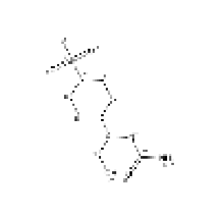 CS(=O)(=O)N1CCC(C(CO)OC(N)=O)CC1